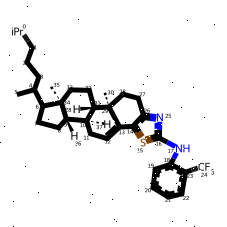 CC(C)CCCC(C)C1CC[C@H]2[C@@H]3CC=C4c5sc(Nc6ccccc6C(F)(F)F)nc5CC[C@]4(C)[C@H]3CC[C@]12C